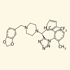 Cc1cccc(C)c1-n1nnnc1[C@H](C1C=C(C(F)(F)F)C=CC1)N1CCN(Cc2ccc3c(c2)OCO3)CC1